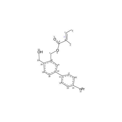 C/C=C(\C)C(=O)OCc1cc(-c2ccc(CCC)cc2)ccc1CO